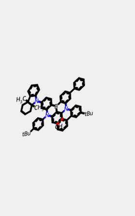 Cc1cc2c3c(c1)N(c1ccc(C(C)(C)C)cc1-c1ccccc1)c1cc(-c4ccccc4)ccc1B3c1ccc(N3c4ccccc4C4(C)CCCCC34C)cc1N2c1ccc(C(C)(C)C)cc1